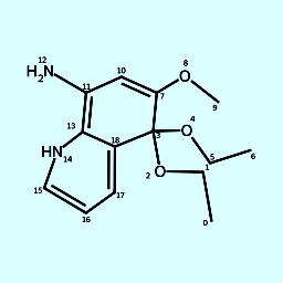 CCOC1(OCC)C(OC)=CC(N)=C2NC=CC=C21